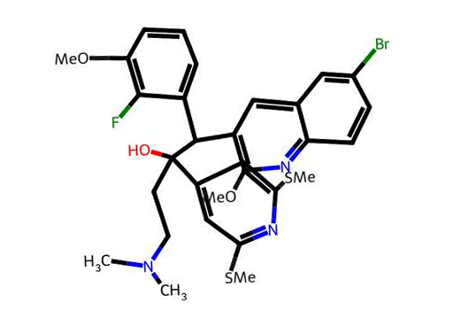 COc1cccc(C(c2cc3cc(Br)ccc3nc2OC)C(O)(CCN(C)C)c2cc(SC)nc(SC)c2)c1F